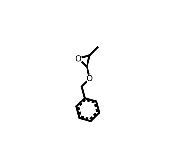 CC1OC1OCc1ccccc1